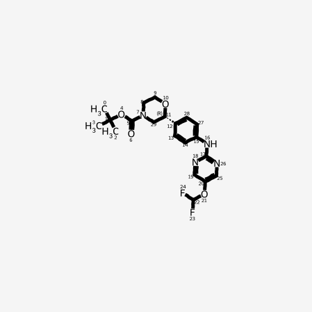 CC(C)(C)OC(=O)N1CCO[C@H](c2ccc(Nc3ncc(OC(F)F)cn3)cc2)C1